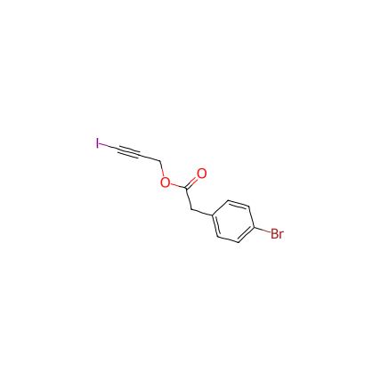 O=C(Cc1ccc(Br)cc1)OCC#CI